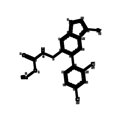 CC(C)(C)OC(=O)NCc1cc2ncc(Br)n2cc1-c1ccc(Cl)cc1Cl